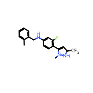 Cc1ccccc1CNc1ccc(C2=CC(C(F)(F)F)NN2C)c(F)c1